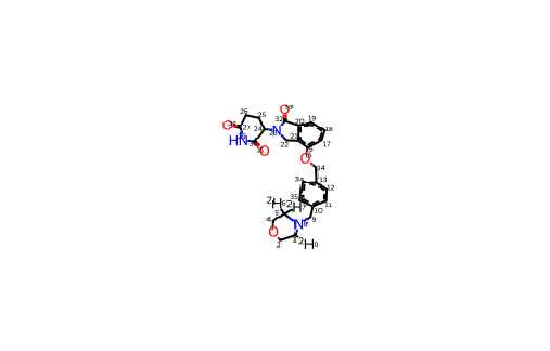 [2H]C1COCC([2H])([2H])N1Cc1ccc(COc2cccc3c2CN(C2CCC(=O)NC2=O)C3=O)cc1